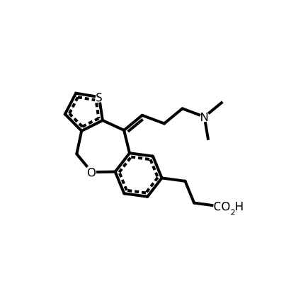 CN(C)CCC=C1c2cc(CCC(=O)O)ccc2OCc2ccsc21